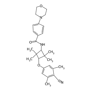 Cc1cc(OC2C(C)(C)C(NC(=O)c3ccc(N4CCOCC4)cc3)C2(C)C)cc(C)c1C#N